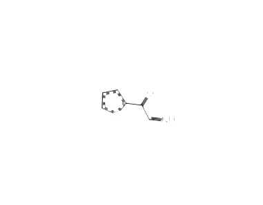 N=CC(=O)c1cccs1